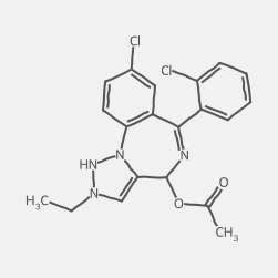 CCN1C=C2C(OC(C)=O)N=C(c3ccccc3Cl)c3cc(Cl)ccc3N2N1